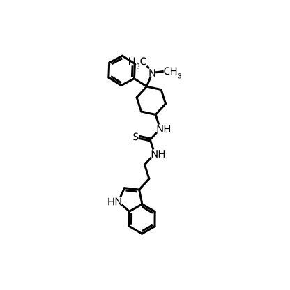 CN(C)C1(c2ccccc2)CCC(NC(=S)NCCc2c[nH]c3ccccc23)CC1